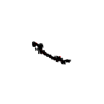 C[C@@H]1CN(CC(=O)N2CC(C)(C)c3ncc(Cc4ccc(F)cc4)cc32)[C@@H](CN(C)CCOCCOCCOCCOCCOCC(=O)Nc2ccc(Nc3ncc(C(F)(F)F)c(NCc4cccc(S(C)(=O)=O)c4)n3)cc2)CN1